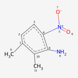 Cc1ccc([N+](=O)[O-])c(N)c1C